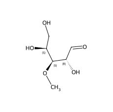 CO[C@H]([C@@H](O)C=O)[C@@H](O)CO